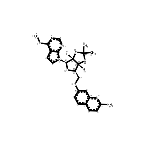 COc1ncnc2c1ccn2[C@@H]1O[C@H](COc2ccc3ccc(N)nc3c2)[C@H]2OC(C)(C)O[C@H]21